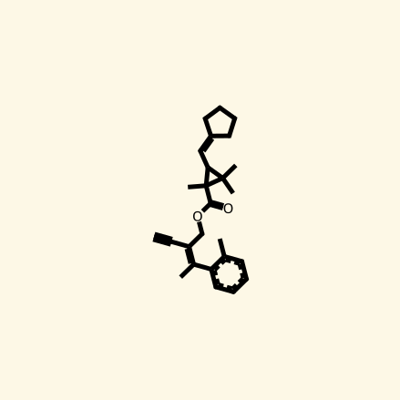 C#CC(COC(=O)C1(C)C(C=C2CCCC2)C1(C)C)=C(C)c1ccccc1C